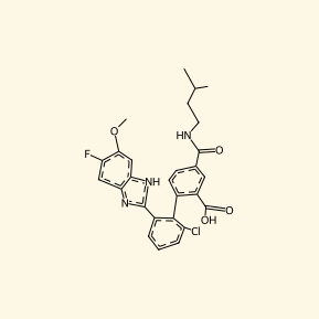 COc1cc2[nH]c(-c3cccc(Cl)c3-c3ccc(C(=O)NCCC(C)C)cc3C(=O)O)nc2cc1F